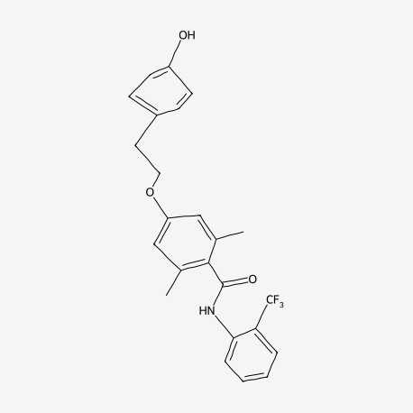 Cc1cc(OCCc2ccc(O)cc2)cc(C)c1C(=O)Nc1ccccc1C(F)(F)F